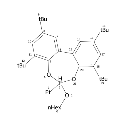 CCCCCCO[PH]1(CC)Oc2c(cc(C(C)(C)C)cc2C(C)(C)C)-c2cc(C(C)(C)C)cc(C(C)(C)C)c2O1